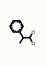 CC(c1ccccc1)C(Cl)Cl